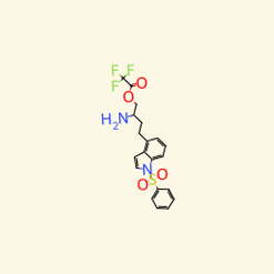 NC(CCc1cccc2c1ccn2S(=O)(=O)c1ccccc1)COC(=O)C(F)(F)F